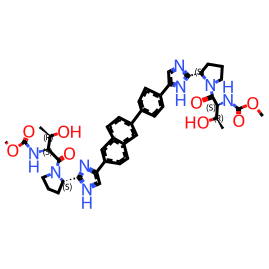 COC(=O)N[C@H](C(=O)N1CCC[C@H]1c1nc(-c2ccc3cc(-c4ccc(-c5cnc([C@@H]6CCCN6C(=O)[C@@H](NC(=O)OC)[C@@H](C)O)[nH]5)cc4)ccc3c2)c[nH]1)[C@@H](C)O